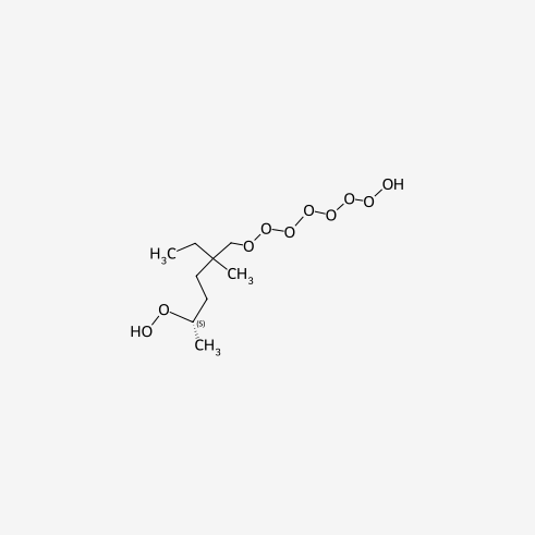 CCC(C)(CC[C@H](C)OO)COOOOOOOO